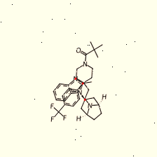 Cc1nc2ccccc2n1[C@H]1C[C@H]2CC[C@@H](C1)N2CCC1(c2ccc(C(F)(F)F)cc2)CCN(C(=O)C(C)(C)C)CC1